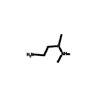 CN(CCN)[SiH](C)C